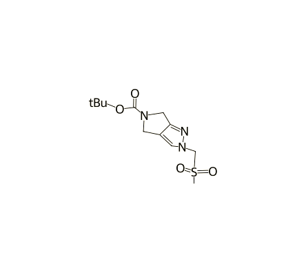 CC(C)(C)OC(=O)N1Cc2cn(CS(C)(=O)=O)nc2C1